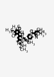 CCNc1ncc2cc(-c3c(Cl)c(OC)cc(OC)c3Cl)c(=O)n(CCN(C)C3CCN(C(=O)C(C#N)=CC(C)(C)C)CC3)c2n1